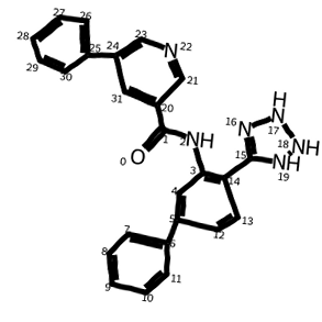 O=C(Nc1cc(-c2ccccc2)ccc1C1=NNNN1)c1cncc(-c2ccccc2)c1